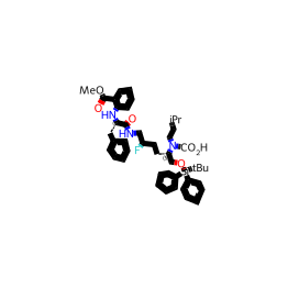 COC(=O)c1ccccc1N[C@@H](Cc1ccccc1)C(=O)NCC(F)CC[C@@H](CO[Si](c1ccccc1)(c1ccccc1)C(C)(C)C)N(CCC(C)C)C(=O)O